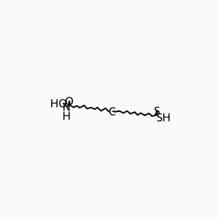 O=C(CCCCCCCCCCCCCCCCCCCCCCCC(=S)S)NO